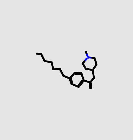 C=C(CC1CCN(C)CC1)c1ccc(CCCCCCC)cc1